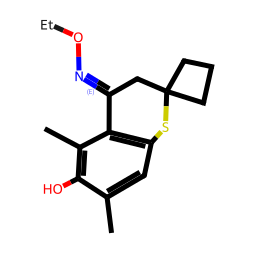 CCO/N=C1\CC2(CCC2)Sc2cc(C)c(O)c(C)c21